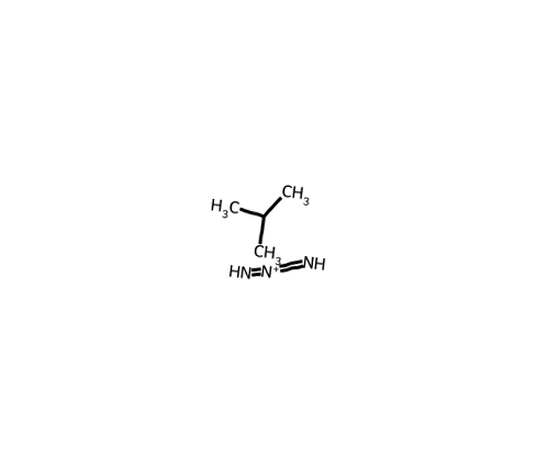 CC(C)C.N=[N+]=N